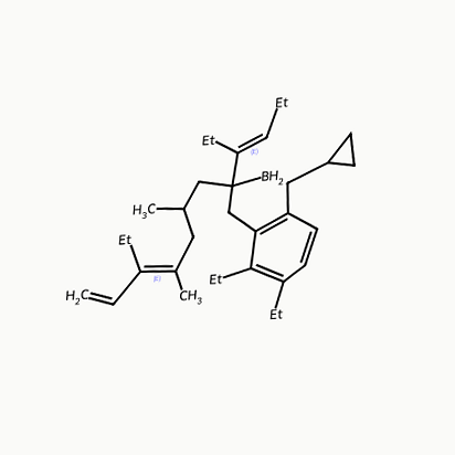 BC(Cc1c(CC2CC2)ccc(CC)c1CC)(CC(C)C/C(C)=C(/C=C)CC)/C(=C/CC)CC